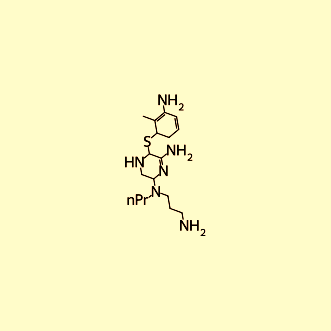 CCCN(CCCN)C1CNC(SC2CC=CC(N)=C2C)C(N)=N1